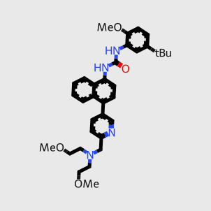 COCCN(CCOC)Cc1ccc(-c2ccc(NC(=O)Nc3cc(C(C)(C)C)ccc3OC)c3ccccc23)cn1